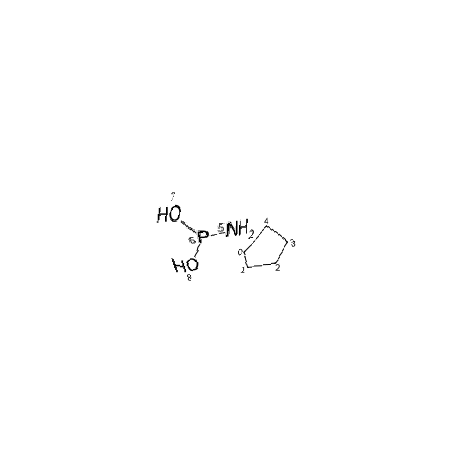 C1CCCC1.NP(O)O